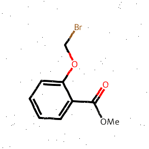 COC(=O)c1ccccc1OCBr